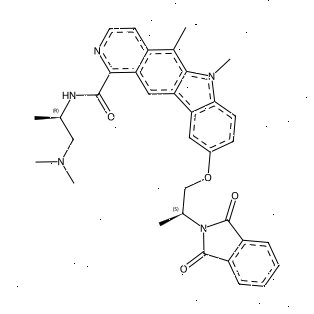 Cc1c2ccnc(C(=O)N[C@H](C)CN(C)C)c2cc2c3cc(OC[C@H](C)N4C(=O)c5ccccc5C4=O)ccc3n(C)c12